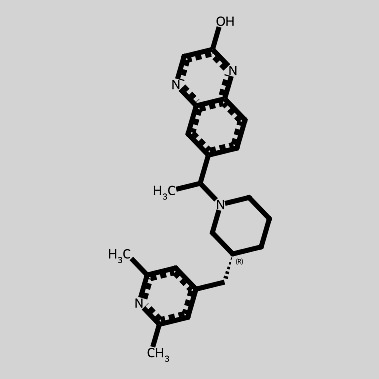 Cc1cc(C[C@H]2CCCN(C(C)c3ccc4nc(O)cnc4c3)C2)cc(C)n1